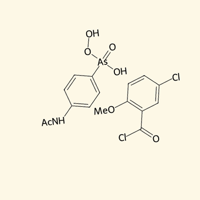 CC(=O)Nc1ccc([As](=O)(O)OO)cc1.COc1ccc(Cl)cc1C(=O)Cl